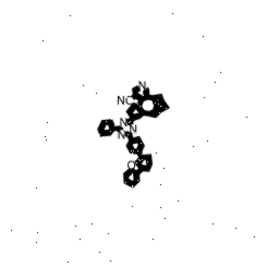 N#Cc1cncc2c1-c1ccc(-c3nc(-c4ccccc4)nc(-c4ccc(-c5cccc6c5oc5ccccc56)cc4)n3)cc1C1CC3CC4CC2C34C1